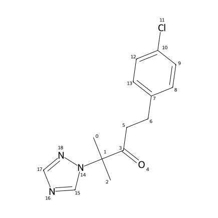 CC(C)(C(=O)CCc1ccc(Cl)cc1)n1cncn1